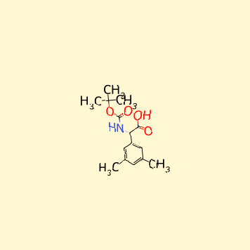 Cc1cc(C)cc([C@H](NC(=O)OC(C)(C)C)C(=O)O)c1